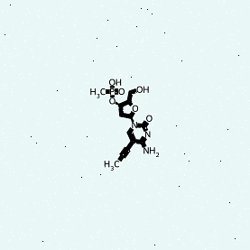 CC#Cc1cn([C@H]2C[C@@H](OP(C)(=O)O)C(CO)O2)c(=O)nc1N